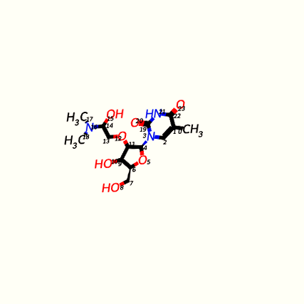 Cc1cn([C@H]2O[C@@H](CO)C(O)C2OCC(O)N(C)C)c(=O)[nH]c1=O